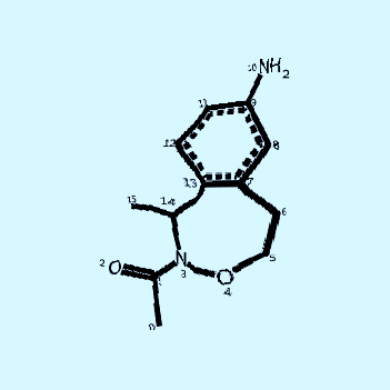 CC(=O)N1OCCc2cc(N)ccc2C1C